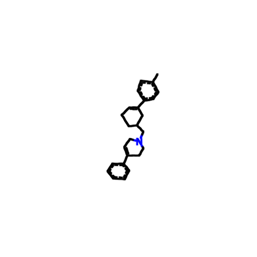 Cc1ccc(C2=CCCC(CN3CC=C(c4ccccc4)CC3)C2)cc1